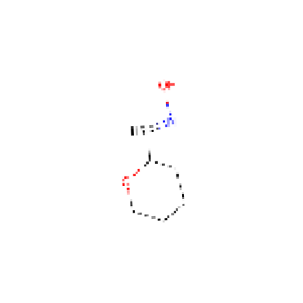 ON=[SiH]C1CCCCO1